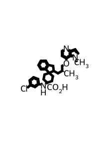 C[C@@H](COc1ccnc2ccn(C)c12)CC1Cc2ccccc2C12CCC(Nc1cccc(Cl)c1)(C(=O)O)CC2